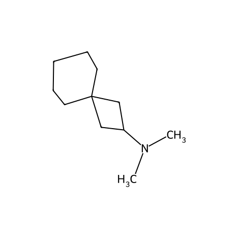 CN(C)C1CC2(CCCCC2)C1